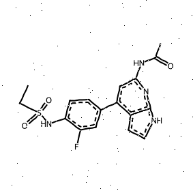 CCS(=O)(=O)Nc1ccc(-c2cc(NC(C)=O)nc3[nH]ccc23)cc1F